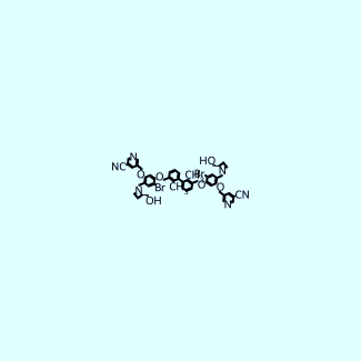 Cc1c(COc2cc(OCc3cncc(C#N)c3)c(CN3CC[C@@H]3CO)cc2Br)cccc1-c1cccc(COc2cc(OCc3cncc(C#N)c3)c(CN3CC[C@@H]3CO)cc2Br)c1C